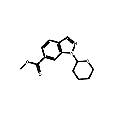 COC(=O)c1ccc2cnn(C3CCCCO3)c2c1